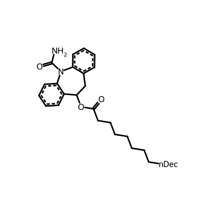 CCCCCCCCCCCCCCCCCC(=O)OC1Cc2ccccc2N(C(N)=O)c2ccccc21